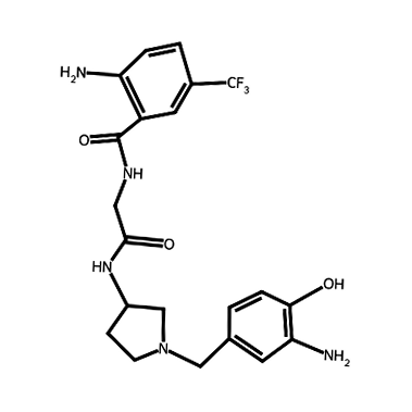 Nc1cc(CN2CCC(NC(=O)CNC(=O)c3cc(C(F)(F)F)ccc3N)C2)ccc1O